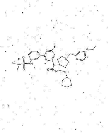 CCOc1cccc(CN2CCC3(CC2)C(NC2CCCCC2)=NC(=O)N3c2cc(F)cc(-c3cccc(NS(=O)(=O)C(F)(F)F)c3)c2)c1